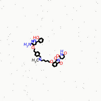 CN(CCCCCOc1cccc2c1C(=O)N(C1CCC(=O)NC1=O)C2=O)Cc1ccc(CCOc2cc(-c3ccccc3O)nnc2N)cc1